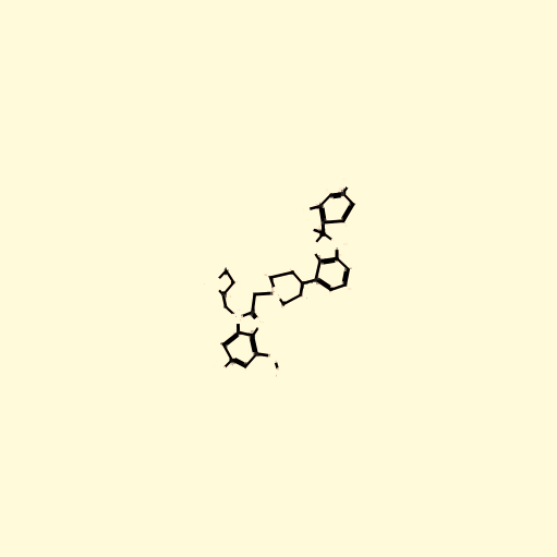 CCOc1cc(C(=O)O)cc2c1nc(CN1CCC(c3cccc4c3OC(C)(c3ccc(Cl)cc3F)O4)CC1)n2CC1CCO1